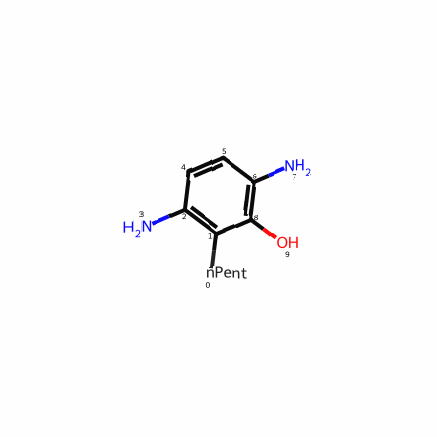 CCCCCc1c(N)ccc(N)c1O